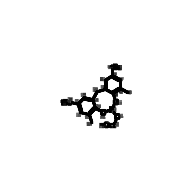 CCCCCCCCOP1Oc2c(C)cc(C(C)(C)C)cc2Cc2cc(C(C)(C)C)cc(C)c2O1